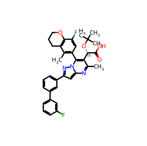 Cc1nc2cc(-c3cccc(-c4cccc(F)c4)c3)nn2c(-c2cc(F)c3c(c2C)CCCO3)c1[C@H](OC(C)(C)C)C(=O)O